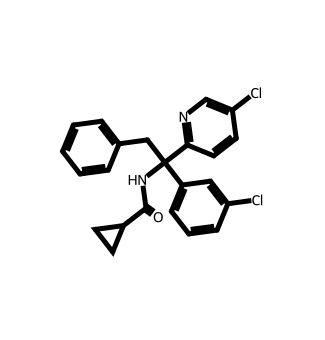 O=C(NC(Cc1ccccc1)(c1cccc(Cl)c1)c1ccc(Cl)cn1)C1CC1